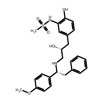 COc1ccc([C@@H](Cc2ccccc2)NC[C@H](O)Cc2ccc(O)c(NS(C)(=O)=O)c2)cc1